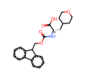 O=C(N[C@@H](CC1CCOCC1)C(=O)O)OCC1c2ccccc2-c2ccccc21